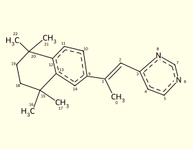 CC(=Cc1ccncn1)c1ccc2c(c1)C(C)(C)CCC2(C)C